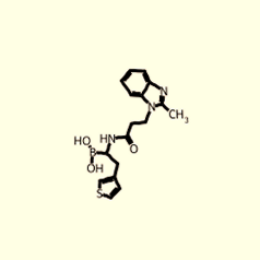 Cc1nc2ccccc2n1CCC(=O)NC(Cc1ccsc1)B(O)O